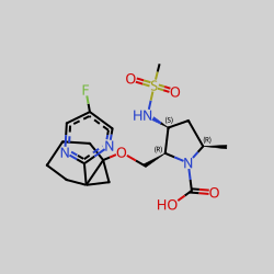 C[C@@H]1C[C@H](NS(C)(=O)=O)[C@H](COC23CCCCC2(c2ncc(F)cn2)C3)N1C(=O)O